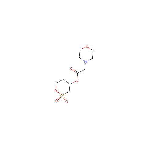 O=C(CN1CCOCC1)OC1CCOS(=O)(=O)C1